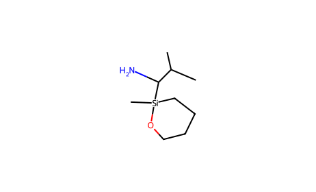 CC(C)C(N)[Si]1(C)CCCCO1